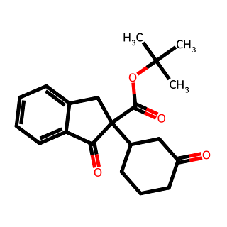 CC(C)(C)OC(=O)C1(C2CCCC(=O)C2)Cc2ccccc2C1=O